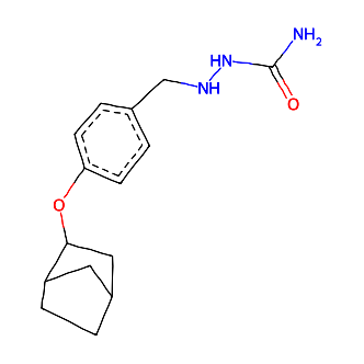 NC(=O)NNCc1ccc(OC2CC3CCC2C3)cc1